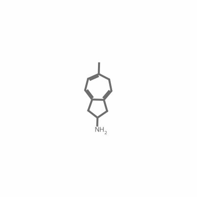 CC1=CC=C2CC(N)CC2=CC1